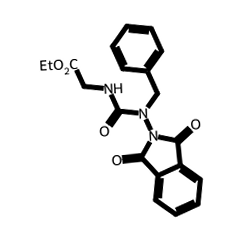 CCOC(=O)CNC(=O)N(Cc1ccccc1)N1C(=O)c2ccccc2C1=O